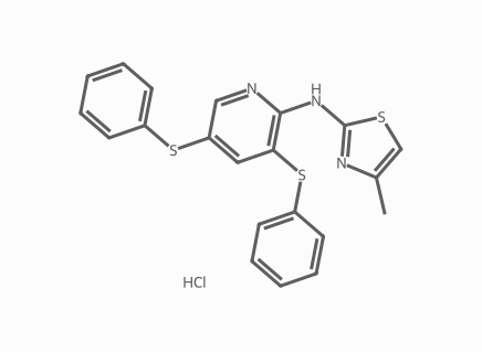 Cc1csc(Nc2ncc(Sc3ccccc3)cc2Sc2ccccc2)n1.Cl